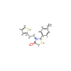 CCc1ccc(C2SCC(=O)N2CCc2cccs2)cc1